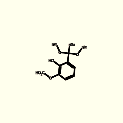 CCCCC(OCCC)(OCCC)c1cccc(OC(=O)O)c1O